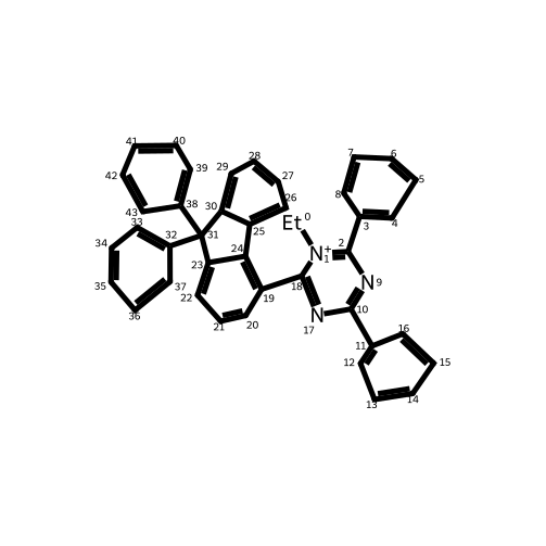 CC[n+]1c(-c2ccccc2)nc(-c2ccccc2)nc1-c1cccc2c1-c1ccccc1C2(c1ccccc1)c1ccccc1